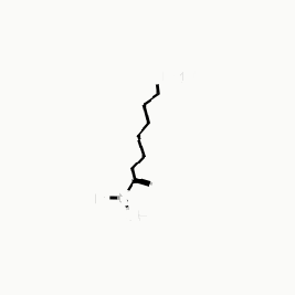 CCCCCCCCCCCCCC(=O)N(O)Br